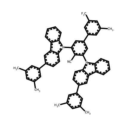 Cc1cc(C)cc(-c2ccc3c(c2)c2ccccc2n3-c2cc(-c3cc(C)cc(C(F)(F)F)c3)cc(-n3c4ccccc4c4cc(-c5cc(C)cc(C)c5)ccc43)c2C#N)c1